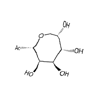 CC(=O)[C@@H]1O[C@H](O)[C@H](O)[C@@H](O)[C@H]1O